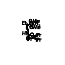 CCC(CCNC(=O)O[Si](C(C)C)(C(C)C)C(C)C)[Si](C)(OC)OC